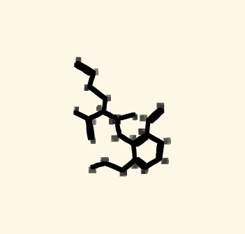 C=CCCC(C(=C)C)N(C)Cc1c(C=C)cccc1CCC